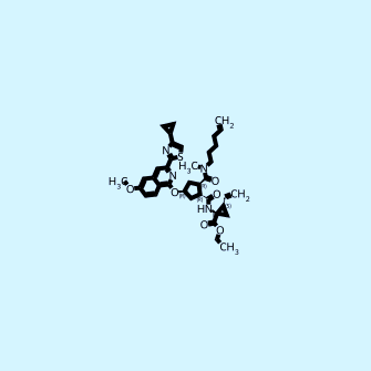 C=CCCCCN(C)C(=O)[C@@H]1C[C@H](Oc2nc(-c3nc(C4CC4)cs3)cc3cc(OC)ccc23)C[C@H]1C(=O)N[C@]1(C(=O)OCC)C[C@H]1C=C